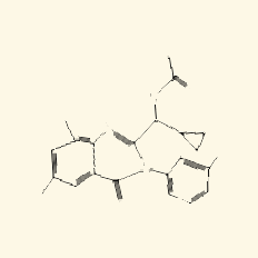 O=C(O)NC(c1nc2c(I)cc(F)cc2c(=O)n1-c1cccc(F)c1)C1CC1